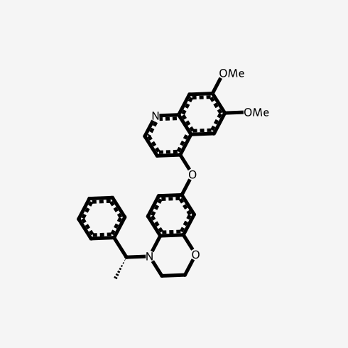 COc1cc2nccc(Oc3ccc4c(c3)OCCN4[C@H](C)c3ccccc3)c2cc1OC